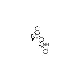 Cc1ccccc1C(=O)Nc1ccc(-c2cc3c(cc2C(F)(F)F)CCC3)cn1